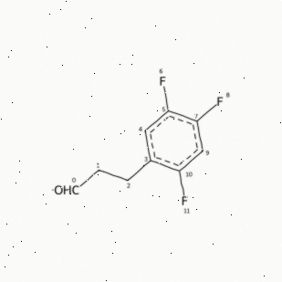 O=[C]CCc1cc(F)c(F)cc1F